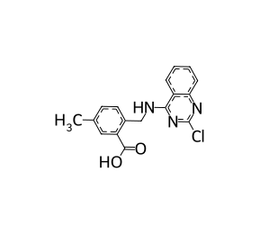 Cc1ccc(CNc2nc(Cl)nc3ccccc23)c(C(=O)O)c1